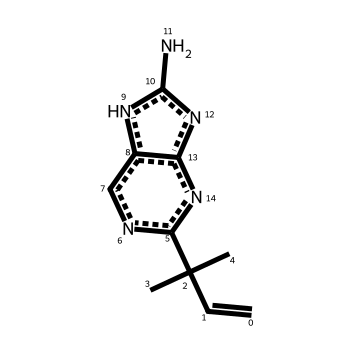 C=CC(C)(C)c1ncc2[nH]c(N)nc2n1